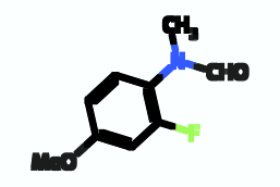 COc1ccc(N(C)C=O)c(F)c1